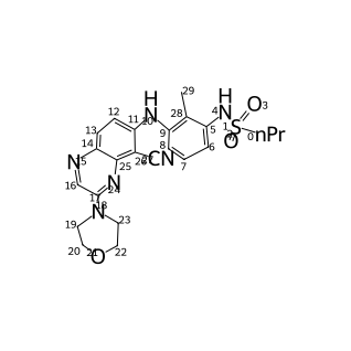 CCCS(=O)(=O)Nc1cccc(Nc2ccc3ncc(N4CCOCC4)nc3c2C#N)c1C